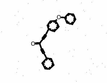 O=C(C#Cc1ccccc1)C#Cc1ccc(Oc2ccccc2)cc1